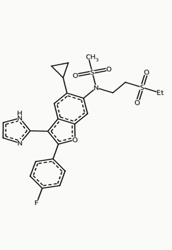 CCS(=O)(=O)CCN(c1cc2oc(-c3ccc(F)cc3)c(-c3ncc[nH]3)c2cc1C1CC1)S(C)(=O)=O